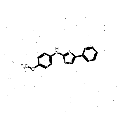 FC(F)(F)Oc1ccc(Nc2nc(-c3ccccc3)cs2)cc1